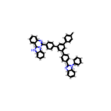 Cc1ccc(-c2cc(-c3ccc(C4=Nc5ccccc5C5Nc6ccccc6N45)cc3)cc(-c3ccc(-c4nc5ccccc5n4-c4ccccc4)cc3)c2)cc1